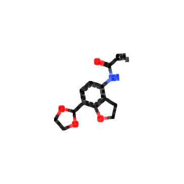 CC(=O)Nc1ccc(C2OCCO2)c2c1CCO2